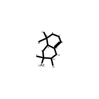 CC(=O)C1(C)CC2C(=CCCC2(C)C)CC1C